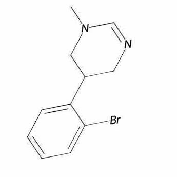 CN1C=NCC(c2ccccc2Br)C1